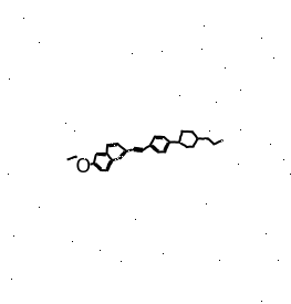 CCCC1CCC(c2ccc(C#Cc3ccc4cc(OCC)ccc4c3)cc2)CC1